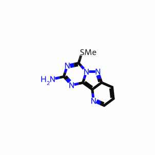 CSc1nc(N)nc2c3ncccc3nn12